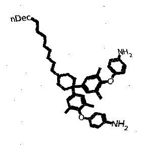 CCCCCCCCCCCCCCCCCCC1CCC(c2cc(C)c(Oc3ccc(N)cc3)c(C)c2)(c2cc(C)c(Oc3ccc(N)cc3)c(C)c2)CC1